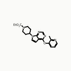 CCOC(=O)N1CCC(n2ccc3c(Oc4cccnc4C)ncnc32)CC1